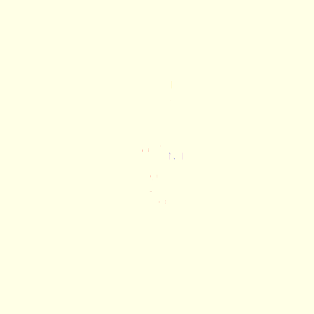 CC(C)CC(OC(=O)c1ccc(F)cc1)C(CNC(=O)c1ccc(F)cc1)c1ccccc1